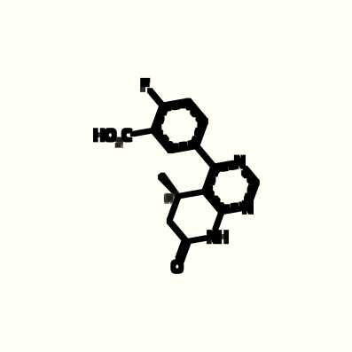 C[C@@H]1CC(=O)Nc2ncnc(-c3ccc(F)c(C(=O)O)c3)c21